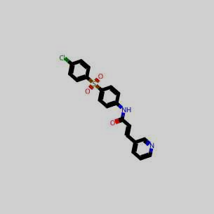 O=C(/C=C/c1cccnc1)Nc1ccc(S(=O)(=O)c2ccc(Cl)cc2)cc1